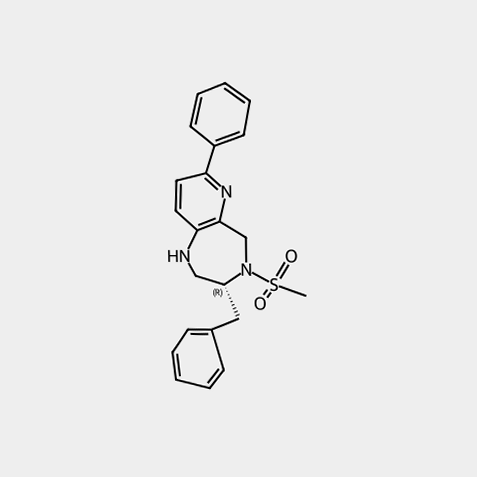 CS(=O)(=O)N1Cc2nc(-c3ccccc3)ccc2NC[C@H]1Cc1ccccc1